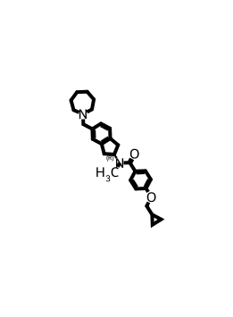 CN(C(=O)c1ccc(OCC2CC2)cc1)[C@@H]1Cc2ccc(CN3CCCCCC3)cc2C1